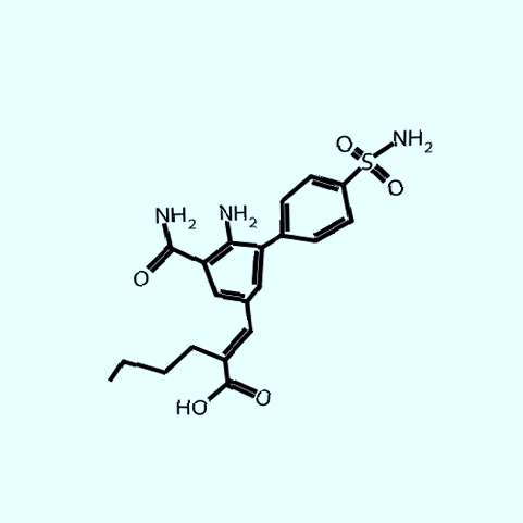 CCCC/C(=C\c1cc(C(N)=O)c(N)c(-c2ccc(S(N)(=O)=O)cc2)c1)C(=O)O